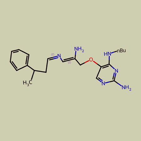 CCCCNc1nc(N)ncc1OC/C(N)=C/N=C\CC(C)c1ccccc1